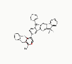 CC1(C)c2ccccc2-c2cc3c(cc21)c1cc(-c2ccc(Br)c4c2C2c5ccccc5C4c4ccccc42)ccc1n3-c1ccccc1